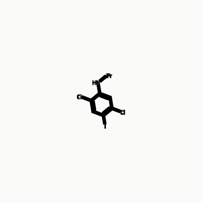 CC(C)Nc1cc(Cl)c(I)cc1Cl